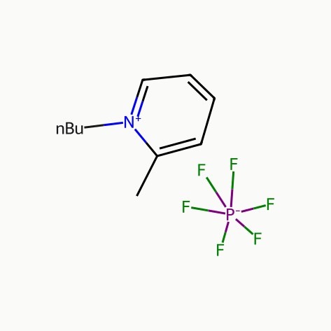 CCCC[n+]1ccccc1C.F[P-](F)(F)(F)(F)F